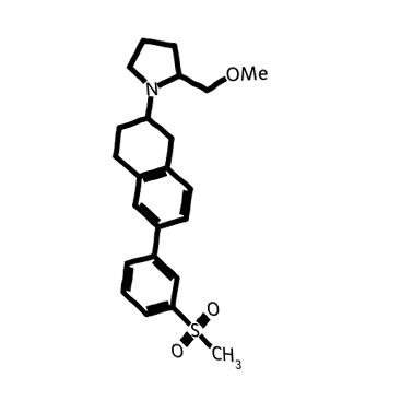 COCC1CCCN1C1CCc2cc(-c3cccc(S(C)(=O)=O)c3)ccc2C1